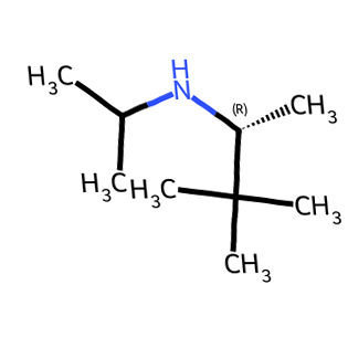 CC(C)N[C@H](C)C(C)(C)C